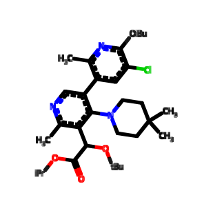 Cc1nc(OCC(C)C)c(Cl)cc1-c1cnc(C)c(C(OC(C)(C)C)C(=O)OC(C)C)c1N1CCC(C)(C)CC1